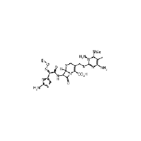 CCO/N=C(\C(=O)NC1C(=O)N2C(C(=O)O)=C(CSC3=NC(N)=C(C)C(NC)N3N)CS[C@@H]12)c1csc(N)n1